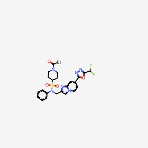 CCC(=O)N1CCC(S(=O)(=O)N(Cc2cn3ccc(-c4nnc(C(F)F)o4)cc3n2)c2ccccc2)CC1